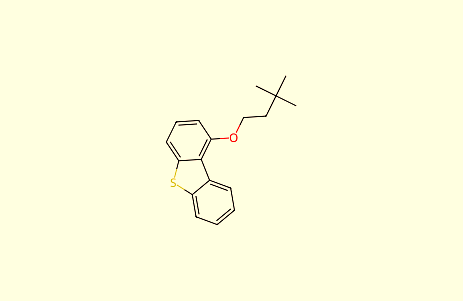 CC(C)(C)CCOc1cccc2sc3ccccc3c12